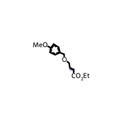 CCOC(=O)/C=C/COCc1ccc(OC)cc1